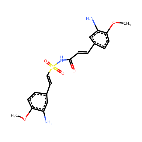 COc1ccc(C=CC(=O)NS(=O)(=O)C=Cc2ccc(OC)c(N)c2)cc1N